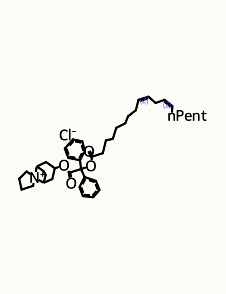 CCCCC/C=C\C/C=C\CCCCCCCC(=O)OC(C(=O)OC1CC2CCC(C1)[N+]21CCCC1)(c1ccccc1)c1ccccc1.[Cl-]